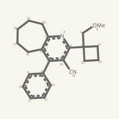 COCC1(c2nc3c(c(-c4ccccc4)c2C#N)CCCCC3)CCC1